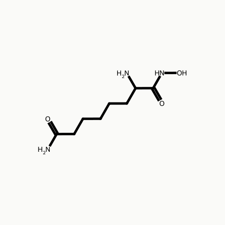 NC(=O)CCCCCC(N)C(=O)NO